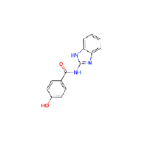 O=C(Nc1nc2ccccc2[nH]1)c1ccc(O)cc1